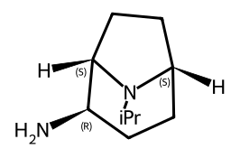 CC(C)N1[C@H]2CC[C@@H](N)[C@@H]1CC2